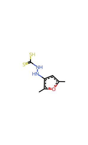 Cc1cc(NNC(=S)S)c(C)o1